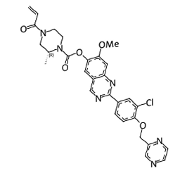 C=CC(=O)N1CCN(C(=O)Oc2cc3cnc(-c4ccc(OCc5cnccn5)c(Cl)c4)nc3cc2OC)[C@H](C)C1